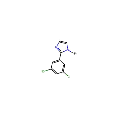 CC(C)n1ccnc1-c1cc(Cl)cc(Cl)c1